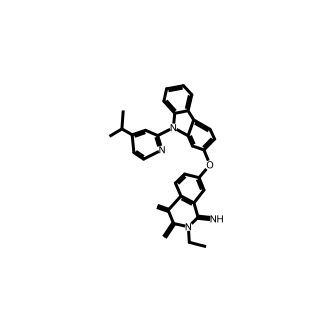 C=c1c(=C)n(CC)c(=N)c2cc(Oc3ccc4c5ccccc5n(-c5cc(C(C)C)ccn5)c4c3)ccc12